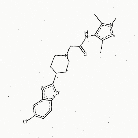 Cc1nn(C)c(C)c1NC(=O)CN1CCC(c2nc3cc(Cl)ccc3o2)CC1